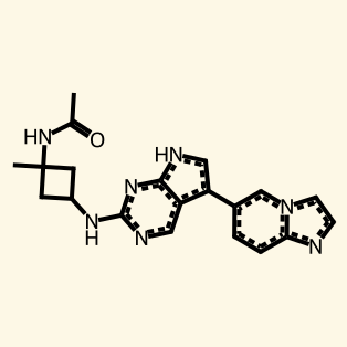 CC(=O)NC1(C)CC(Nc2ncc3c(-c4ccc5nccn5c4)c[nH]c3n2)C1